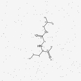 CCCC(NCC(=O)OCC(C)C)C(C)=O